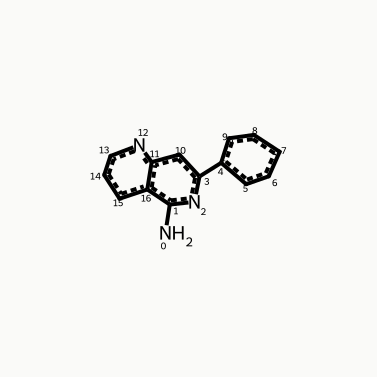 Nc1nc(-c2ccccc2)cc2ncccc12